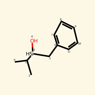 CC(C)[SiH](O)Cc1ccccc1